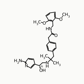 COc1cccc(OC)c1CNC(=O)Cc1ccc(CC(C)(C)NC[C@@H](O)c2ccc(N)nc2)cc1